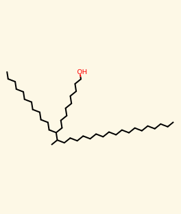 CCCCCCCCCCCCCCCCCCC(C)C(CCCCCCCCCO)CCCCCCCCCCCC